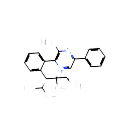 CCC(C)(C)[C@H](c1ccccc1-c1ncc(-c2ccccc2)nc1C)C(C)C